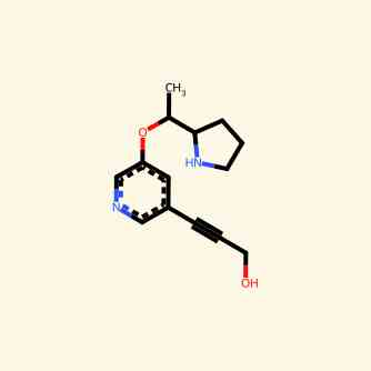 CC(Oc1cncc(C#CCO)c1)C1CCCN1